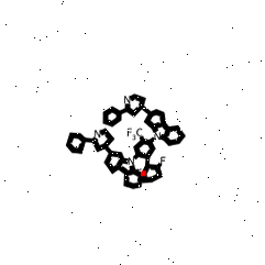 Fc1cccc(F)c1-c1cc(-n2c3ccccc3c3ccc(-c4ccnc(-c5ccccc5)c4)cc32)c(C(F)(F)F)cc1-n1c2ccccc2c2ccc(-c3ccnc(-c4ccccc4)c3)cc21